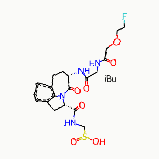 CC[C@H](C)[C@H](NC(=O)COCCF)C(=O)N[C@H]1CCc2cccc3c2N(C1=O)[C@H](C(=O)NCS(=O)O)C3